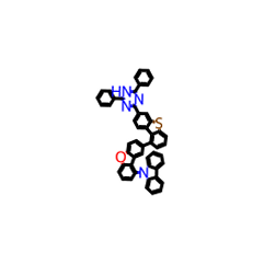 c1ccc(C2=NC(c3ccc4c(c3)sc3cccc(-c5ccc6oc7cccc(-n8c9ccccc9c9ccccc98)c7c6c5)c34)=NC(c3ccccc3)N2)cc1